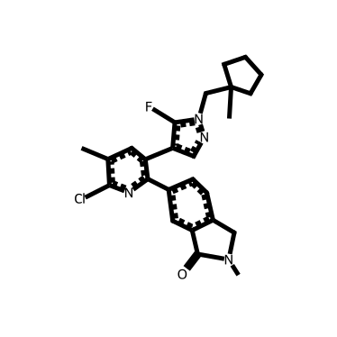 Cc1cc(-c2cnn(CC3(C)CCCC3)c2F)c(-c2ccc3c(c2)C(=O)N(C)C3)nc1Cl